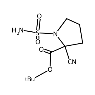 CC(C)(C)OC(=O)C1(C#N)CCCN1S(N)(=O)=O